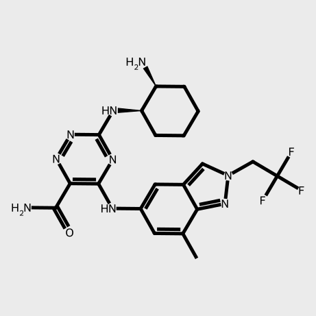 Cc1cc(Nc2nc(N[C@@H]3CCCC[C@@H]3N)nnc2C(N)=O)cc2cn(CC(F)(F)F)nc12